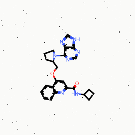 O=C(NC1CCC1)c1cc(OCC2CCCN2c2ncnc3[nH]cnc23)c2ccccc2n1